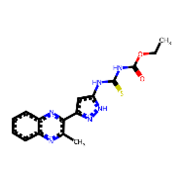 CCOC(=O)NC(=S)Nc1cc(-c2nc3ccccc3nc2C)n[nH]1